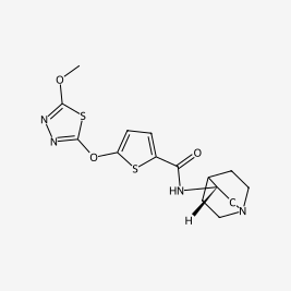 COc1nnc(Oc2ccc(C(=O)N[C@H]3CN4CCC3CC4)s2)s1